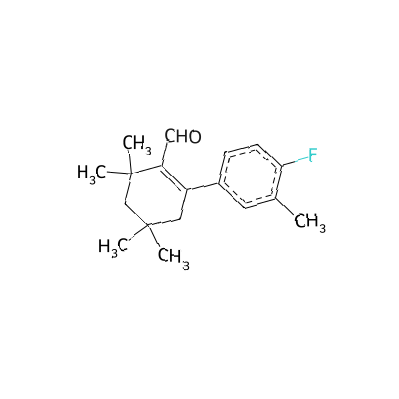 Cc1cc(C2=C(C=O)C(C)(C)CC(C)(C)C2)ccc1F